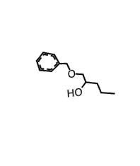 CCCC(O)COCc1ccccc1